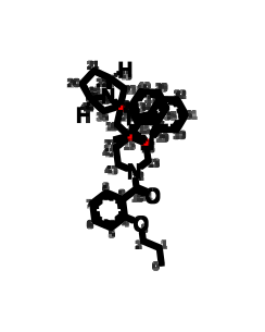 CCCOc1ccccc1C(=O)N1CCC(CCN2[C@@H]3CC[C@H]2C[C@@H](n2c(C)nc4ccccc42)C3)(c2ccccc2)CC1